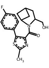 Cc1nc(C(=O)N2C(CO)CC3CC2C3)c(-c2ccc(F)cc2)s1